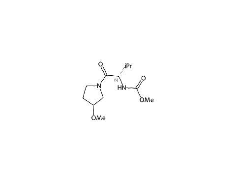 COC(=O)N[C@H](C(=O)N1CCC(OC)C1)C(C)C